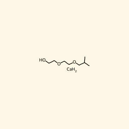 CC(C)COCCOCCO.[CaH2]